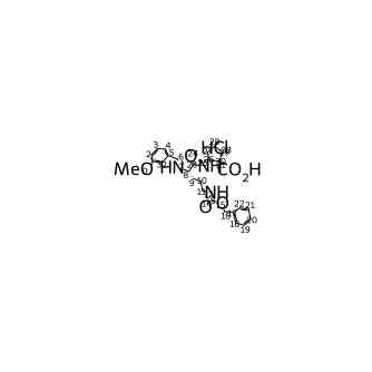 COc1cccc(CN[C@@H](CCCNC(=O)OCc2ccccc2)C(=O)N[C@H]2CCC[C@H]2C(=O)O)c1.Cl